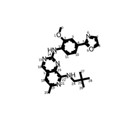 COc1cc(-c2ncco2)ccc1Nc1ncc2cc(C)nc(NCC(C)(C)C)c2n1